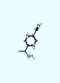 CC(N)c1cnc(C#N)cn1